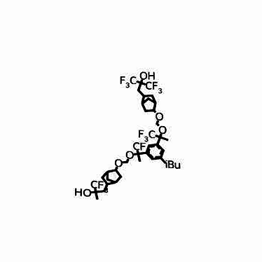 CCC(C)c1cc(C(C)(OCOC2CC3CC2CC3CC(C)(O)C(F)(F)F)C(F)(F)F)cc(C(C)(OCOC2CC3CC2CC3CC(O)(C(F)(F)F)C(F)(F)F)C(F)(F)F)c1